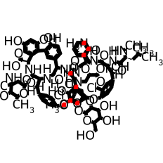 CN[C@H](CC(C)C)C(=O)NC1C(=O)NC(CC(N)=O)C(=O)N[C@H]2C(=O)NC3C(=O)N[C@H](C(=O)N[C@@H](C(=O)O)c4cc(O)cc(O)c4-c4cc3ccc4O)[C@H](OC3CC(C)(N)C(O)C(C)O3)c3ccc(c(Cl)c3)Oc3cc2cc(c3OC2OC(CO)C(O)C(O)C2OC2CC(C)(NCC(OCc3ccccc3)C(=O)O)C(O)C(C)O2)Oc2ccc(cc2Cl)[C@H]1O